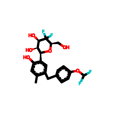 Cc1cc(O)c([C@@H]2O[C@H](CO)C(F)(F)[C@H](O)[C@H]2O)cc1Cc1ccc(OC(F)F)cc1